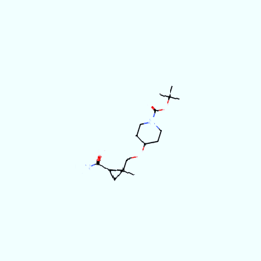 CC(C)(C)OC(=O)N1CCC(OCC2(C)CC2C(N)=O)CC1